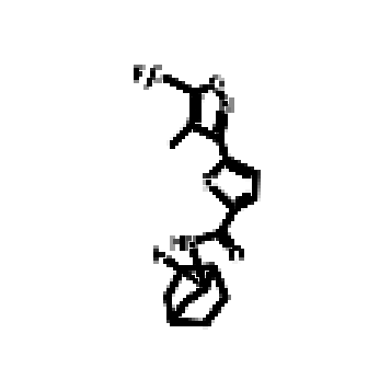 Cc1c(-c2ccc(C(=O)N[C@H]3CC4CCC3CC4)s2)noc1C(F)(F)F